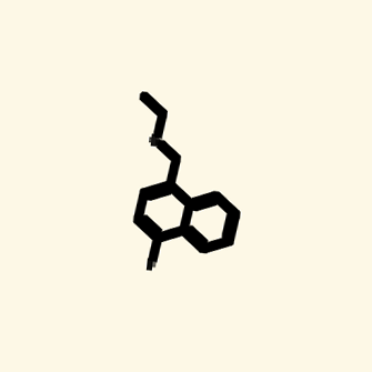 CC[N]Cc1ccc(F)c2ccccc12